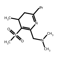 CC(C)C1=NC(CN(C)C)=C(S(C)(=O)=O)C(C)C1